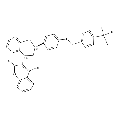 O=c1oc2ccccc2c(O)c1[C@H]1C[C@H](c2ccc(OCc3ccc(C(F)(F)F)cc3)cc2)Cc2ccccc21